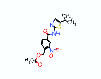 CC(=O)OCc1ccc(C(=O)Nc2ncc(C(C)C)s2)cc1[N+](=O)[O-]